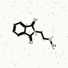 O=C1c2ccccc2C(=O)N1CCOS